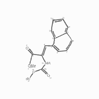 COC(=O)C(=Cc1cccc2ccccc12)NC(=O)OC(C)(C)C